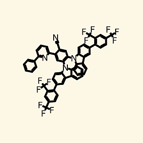 N#Cc1cc(-n2c3ccccc3c3cc(-c4ccc(C(F)(F)F)cc4C(F)(F)F)ccc32)c(-n2c3ccccc3c3cc(-c4ccc(C(F)(F)F)cc4C(F)(F)F)ccc32)cc1-c1cccc(-c2ccccc2)n1